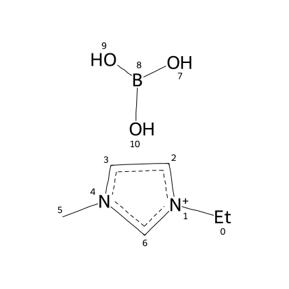 CC[n+]1ccn(C)c1.OB(O)O